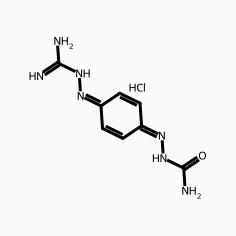 Cl.N=C(N)NN=C1C=CC(=NNC(N)=O)C=C1